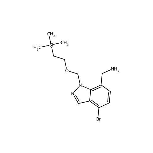 C[Si](C)(C)CCOCn1ncc2c(Br)ccc(CN)c21